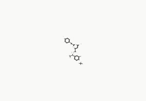 COc1ccc(C(C)(C)c2nc(C(=O)NC(c3ccc(OC(F)(F)F)c(F)c3)C(C)C)cc(=O)[nH]2)cc1